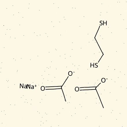 CC(=O)[O-].CC(=O)[O-].SCCS.[Na+].[Na+]